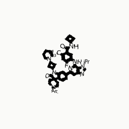 CC(=O)N1CCC2(CC1)C(=O)N([C@H]1C[C@@H](N3CCCCC3)C1)c1cc(-c3cc4ncn(C(C)C)c4c(Nc4cc(C(=O)NC5CCC5)c(C)cc4F)n3)ccc12